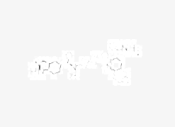 NC(=O)c1cc2c(nc1O[C@H]1CC3(C[C@H](NC(=O)c4ccc5[nH]ncc5c4)C3)C1)CCOC2